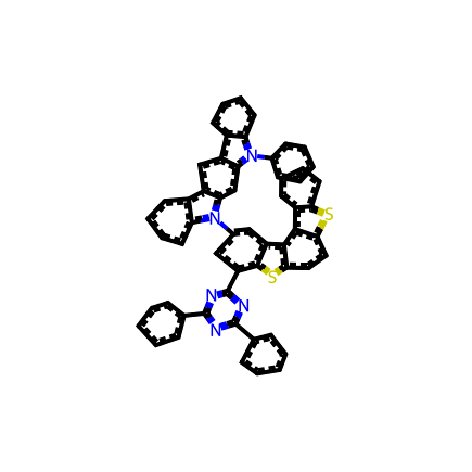 c1ccc(-c2nc(-c3ccccc3)nc(-c3cc(-n4c5ccccc5c5cc6c7ccccc7n(-c7ccccc7)c6cc54)cc4c3sc3ccc5sc6ccccc6c5c34)n2)cc1